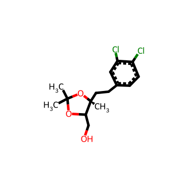 CC1(C)OC(CO)[C@@](C)(CCc2ccc(Cl)c(Cl)c2)O1